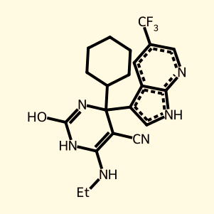 CCNC1=C(C#N)C(c2c[nH]c3ncc(C(F)(F)F)cc23)(C2CCCCC2)N=C(O)N1